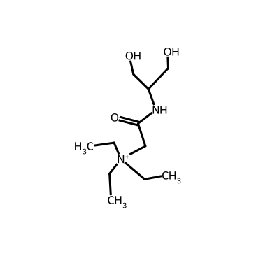 CC[N+](CC)(CC)CC(=O)NC(CO)CO